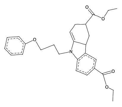 CCOC(=O)c1ccc2c(c1)C1CC(C(=O)OCC)CC=C1N2CCCOc1ccccc1